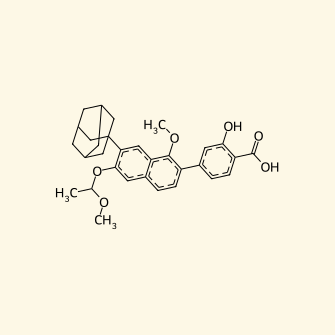 COc1c(-c2ccc(C(=O)O)c(O)c2)ccc2cc(OC(C)OC)c(C34CC5CC(CC(C5)C3)C4)cc12